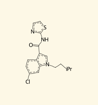 CC(C)CCn1cc(C(=O)Nc2nccs2)c2ccc(Cl)cc21